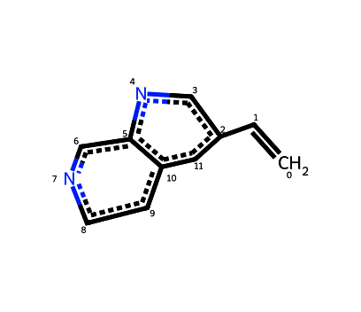 C=Cc1cnc2cnccc2c1